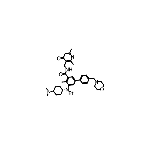 CCN(c1cc(-c2ccc(CN3CCOCC3)cc2)cc(C(=O)NCC2=C(C)N=C(C)CC2=O)c1C)[C@H]1CC[C@H](N(C)C)CC1